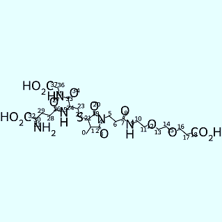 CC1C(=O)N(CCC(=O)NCCOCCOCCC(=O)O)C(=O)C1SCC(NC(=O)CCC(N)C(=O)O)C(=O)NCC(=O)O